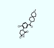 CN1CCC2(CC1)CCN(C(=O)c1ccc(Cl)c(N3CCC(=O)NC3=O)c1)CC2